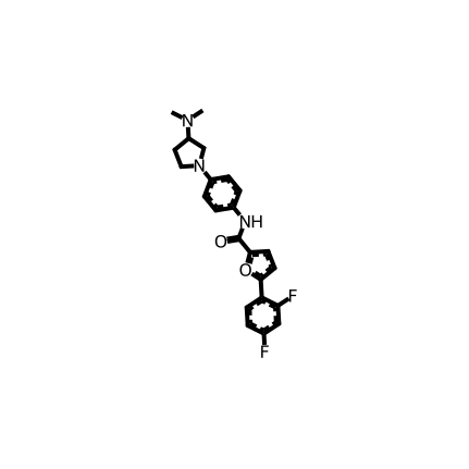 CN(C)C1CCN(c2ccc(NC(=O)c3ccc(-c4ccc(F)cc4F)o3)cc2)C1